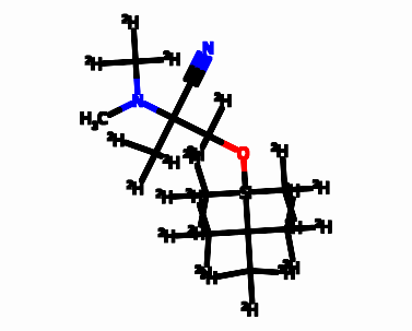 [2H]C([2H])([2H])N(C)C(C#N)(C([2H])([2H])[2H])C([2H])([2H])O[Si](C([2H])([2H])[2H])(C([2H])([2H])[2H])C(C([2H])([2H])[2H])(C([2H])([2H])[2H])C([2H])([2H])[2H]